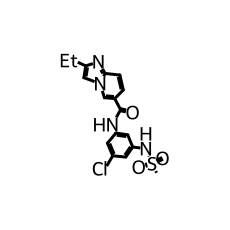 CCc1cn2cc(C(=O)Nc3cc(Cl)cc(NS(C)(=O)=O)c3)ccc2n1